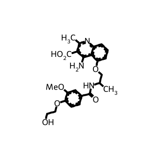 COc1cc(C(=O)NC(C)COc2cccc3nc(C)c(C(=O)O)c(N)c23)ccc1OCCO